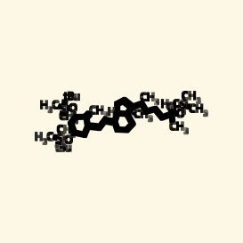 C=C1/C(=C\C=C2/CCC[C@]3(C)C([C@H](C)CCCC(C)(C)O[Si](C)(C)C)=CC[C@@H]23)C[C@@H](O[Si](C)(C)C(C)(C)C)C[C@@H]1O[Si](C)(C)C(C)(C)C